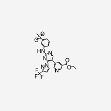 CCOC(=O)c1cncc(-c2cnc(Nc3cccc(S(C)(=O)=O)c3)nc2-n2ccc(C(F)(F)F)n2)c1